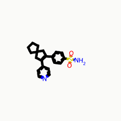 NS(=O)(=O)c1ccc(C2=C(c3ccncc3)CC3(CCCC3)C2)cc1